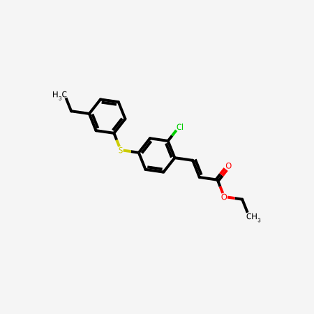 CCOC(=O)C=Cc1ccc(Sc2cccc(CC)c2)cc1Cl